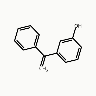 C=C(c1ccccc1)c1cccc(O)c1